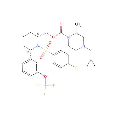 CC1CN(CC2CC2)CCN1C(=O)OC[C@H]1CCC[C@@H](c2cccc(OC(F)(F)F)c2)N1S(=O)(=O)c1ccc(Cl)cc1